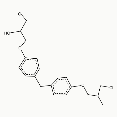 CC(CCl)COc1ccc(Cc2ccc(OCC(O)CCl)cc2)cc1